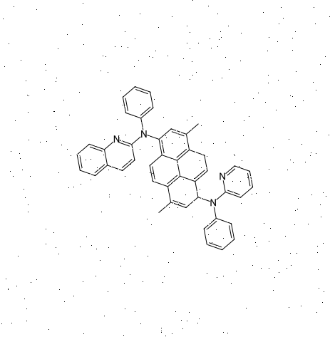 CC1=CC(N(c2ccccc2)c2ccccn2)C2=CCc3c(C)cc(N(c4ccccc4)c4ccc5ccccc5n4)c4ccc1c2c34